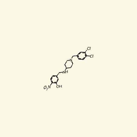 O=[N+]([O-])c1ccc(CNC2CCN(Cc3ccc(Cl)c(Cl)c3)CC2)cc1O